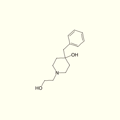 OCCN1CCC(O)(Cc2ccccc2)CC1